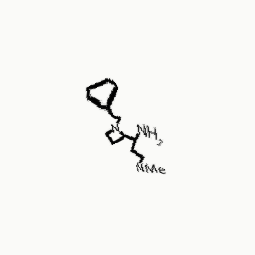 CNCCC(N)C1CCN1Cc1ccccc1